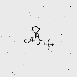 O=CN1CC(NC(=O)CCC(F)(F)F)(c2ccccn2)C1